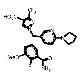 COc1cccc(C(N)=O)c1F.O=C(O)c1cn(Cc2ccc(N3CCCC3)nc2)nc1C(F)(F)F